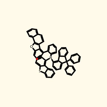 c1ccc(C2(c3ccccc3)c3ccccc3-c3c(N(c4ccccc4-c4cccc5oc6c7ccccc7ccc6c45)c4cccc5sc6ccccc6c45)cccc32)cc1